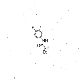 CCNC(=O)Nc1ccc(F)c(C)c1